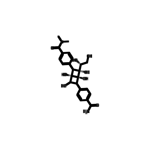 CN(C)C(=O)c1ccc(C2[C@]3(O)C(O)C(c4ccc(C(N)=O)cc4)[C@]3(O)[C@]2(O)[C@H](O)CO)cc1